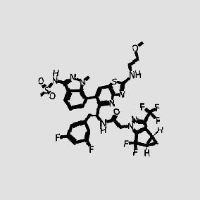 COCCNc1nc2nc([C@H](Cc3cc(F)cc(F)c3)NC(=O)Cn3nc(C(F)(F)F)c4c3C(F)(F)[C@@H]3C[C@H]43)c(-c3cccc4c(NS(C)(=O)=O)nn(C)c34)cc2s1